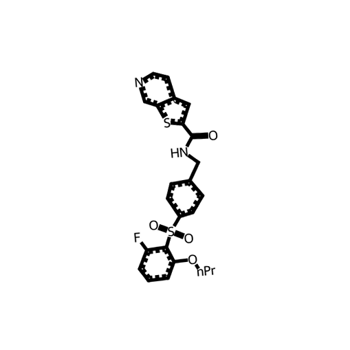 CCCOc1cccc(F)c1S(=O)(=O)c1ccc(CNC(=O)c2cc3ccncc3s2)cc1